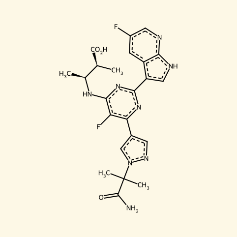 C[C@H](Nc1nc(-c2c[nH]c3ncc(F)cc23)nc(-c2cnn(C(C)(C)C(N)=O)c2)c1F)[C@H](C)C(=O)O